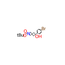 CC(C)(C)OC(=O)N1CC2(C1)CC(O)(c1ccc(Br)cc1)C2